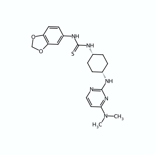 CN(C)c1ccnc(N[C@H]2CC[C@@H](NC(=S)Nc3ccc4c(c3)OCO4)CC2)n1